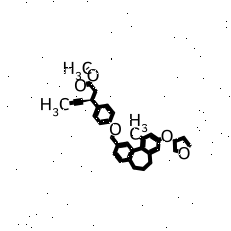 CC#C[C@@H](CC(=O)OC)c1ccc(OCc2ccc3c(c2)-c2c(C)cc(O[C@@H]4CCOC4)cc2CCC3)cc1